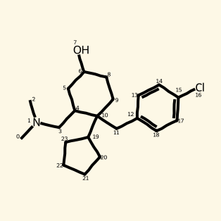 CN(C)CC1CC(O)CCC1(Cc1ccc(Cl)cc1)C1CCCC1